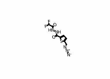 [N-]=[N+]=NCc1ccc(C(=O)NNC(=O)C(F)F)s1